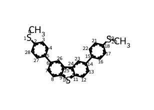 CSc1ccc(-c2ccc3sc4ccc(-c5ccc(SC)cc5)cc4c3c2)cc1